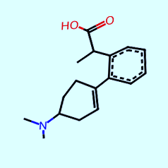 CC(C(=O)O)c1ccccc1C1=CCC(N(C)C)CC1